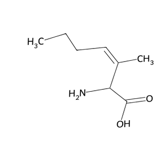 CCCC=C(C)C(N)C(=O)O